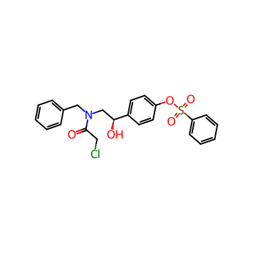 O=C(CCl)N(Cc1ccccc1)C[C@H](O)c1ccc(OS(=O)(=O)c2ccccc2)cc1